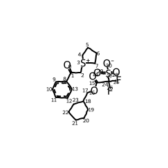 O=C(C[S+]1CCCC1)c1ccccc1.O=C(OCC1CCCCC1)C(F)(F)S(=O)(=O)[O-]